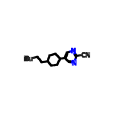 CCC(C)CCC1CCC(c2cnc(C#N)nc2)CC1